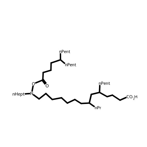 CCCCCCCN(CCCCCCCC(CCC)CC(CCCCC)CCCC(=O)O)OC(=O)CCCC(CCCCC)CCCCC